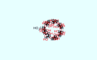 OC[C@H]1O[C@@H]2O[C@H]3[C@H](O)[C@@H](O)[C@@H](O[C@H]4[C@H](O)[C@@H](O)[C@@H](O[C@H]5[C@H](O)[C@@H](O)[C@@H](O[C@H]6[C@H](O)[C@@H](O)[C@@H](O[C@H]7[C@H](O)[C@@H](O)[C@@H](O[C@H]8[C@H](O)[C@@H](O)[C@@H](O[C@H]1[C@H](O)[C@H]2O)O[C@@H]8CO)O[C@@H]7CO)O[C@@H]6CO)O[C@@H]5CO)O[C@@H]4CO)O[C@@H]3CO.[CH2]C(=O)O